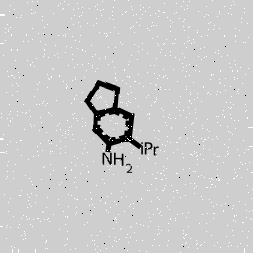 CC(C)c1cc2c(cc1N)CCC2